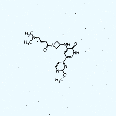 COc1nccc(-c2c[nH]c(=O)c(NC3CN(C(=O)C=CCN(C)C)C3)c2)n1